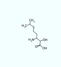 CC(C)SCCC(N)C(O)C(=O)O